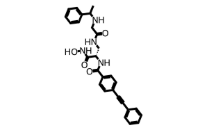 CC(NCC(=O)NC[C@H](NC(=O)c1ccc(C#Cc2ccccc2)cc1)C(=O)NO)c1ccccc1